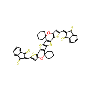 S=C1C(=Cc2cc3c(s2)-c2sc4c5c(sc4c2C2(CCCCC2)O3)-c2sc(C=C3C(=S)c4ccccc4C3=S)cc2OC52CCCCC2)C(=S)c2ccccc21